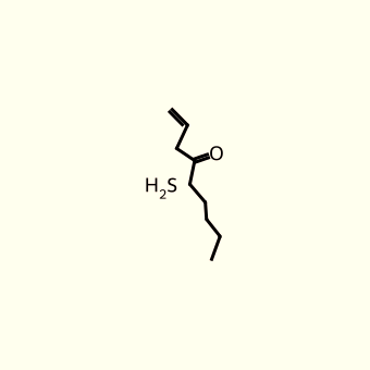 C=CCC(=O)CCCCC.S